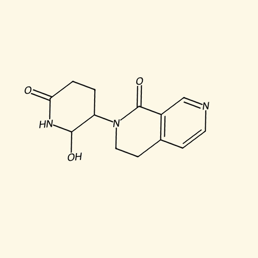 O=C1CCC(N2CCc3ccncc3C2=O)C(O)N1